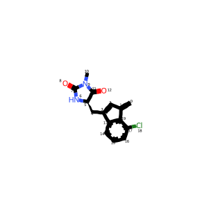 C=C1C=C(C[C@H]2NC(=O)N(C)C2=O)c2cccc(Cl)c21